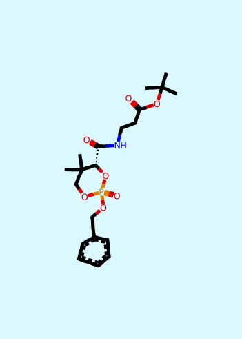 CC(C)(C)OC(=O)CCNC(=O)[C@@H]1OP(=O)(OCc2ccccc2)OCC1(C)C